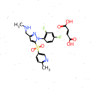 CNCc1cc(S(=O)(=O)c2ccc(C)nc2)n(-c2ccc(F)cc2F)n1.O=C(O)/C=C/C(=O)O